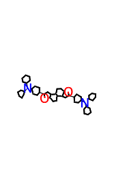 c1ccc(N(c2ccccc2)c2ccc(-c3cc4c(ccc5c6cc(-c7ccc(N(c8ccccc8)c8ccccc8)cc7)oc6ccc45)o3)cc2)cc1